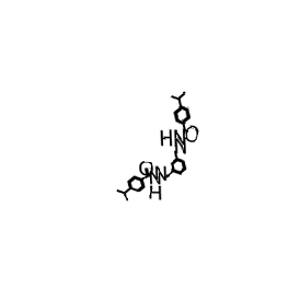 CC(C)c1ccc(C(=O)N/N=C/c2cccc(/C=N/NC(=O)c3ccc(C(C)C)cc3)c2)cc1